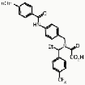 CCCCCCCCc1ccc(C(=O)Nc2ccc(CN(C(=O)C(=O)O)C(CC)c3ccc(C(F)(F)F)cc3)cc2)cc1